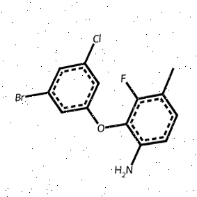 Cc1ccc(N)c(Oc2cc(Cl)cc(Br)c2)c1F